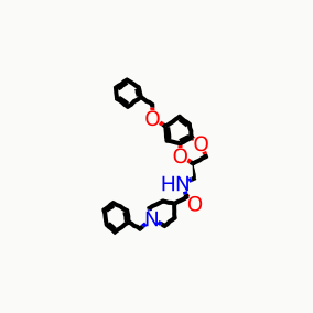 O=C(NC[C@@H]1COc2ccc(OCc3ccccc3)cc2O1)C1CCN(Cc2ccccc2)CC1